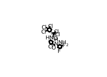 Nc1c(F)cc(F)cc1NC(=O)c1cc(NC(=O)[C@H]2[C@H](c3cc(Cl)c(Cl)c(Cl)c3)C2(Cl)Cl)ccc1Cl